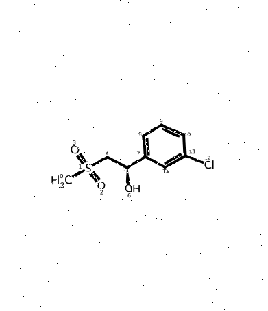 CS(=O)(=O)C[C@H](O)c1cccc(Cl)c1